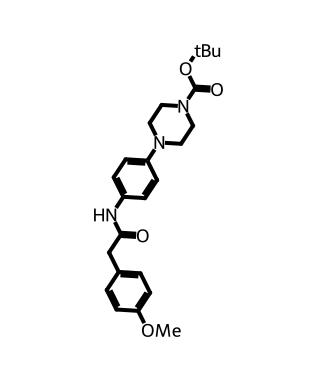 COc1ccc(CC(=O)Nc2ccc(N3CCN(C(=O)OC(C)(C)C)CC3)cc2)cc1